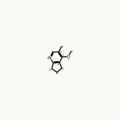 COc1c(C)cnc2c1CCC2